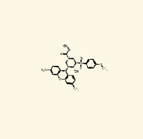 CC(C)(C)OC(=O)N1C[C@@H](S(=O)(=O)c2ccc(OC(F)(F)F)cc2)[C@H](O)[C@@H](N2c3ccc(C(F)(F)F)cc3Oc3cc(C(F)(F)F)ccc32)C1